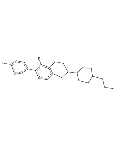 CCCC1CCC(C2CCc3c(ccc(-c4ccc(F)cc4)c3F)C2)CC1